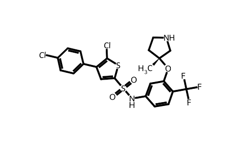 C[C@@]1(Oc2cc(NS(=O)(=O)c3cc(-c4ccc(Cl)cc4)c(Cl)s3)ccc2C(F)(F)F)CCNC1